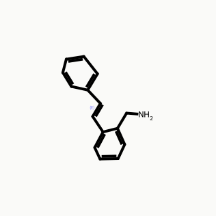 NCc1ccccc1/C=C/c1ccccc1